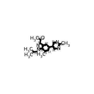 CC(=O)c1nn(CC(C)C)c2c(C)cc(-c3cnc(C)nc3)cc12